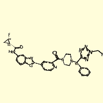 O=C(Nc1ccc2oc(-c3ccnc(C(=O)N4CCN([C@H](c5ccccc5)c5nnn(CF)n5)CC4)c3)nc2c1)[C@@H]1C[C@@H]1F